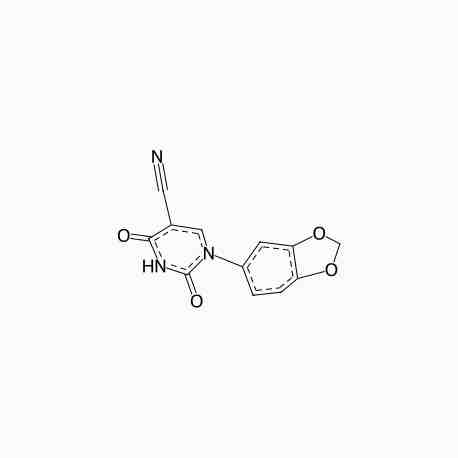 N#Cc1cn(-c2ccc3c(c2)OCO3)c(=O)[nH]c1=O